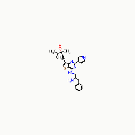 CC(C)C(C)(O)C#Cc1csc2c(NCC(N)Cc3ccccc3)nc(-c3ccncc3)nc12